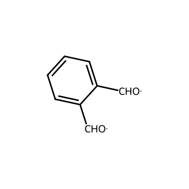 O=[C]c1ccccc1[C]=O